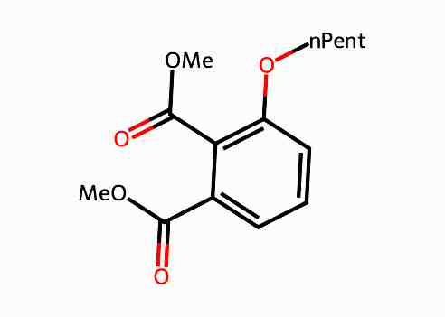 CCCCCOc1cccc(C(=O)OC)c1C(=O)OC